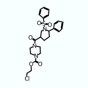 O=C(OCCCl)N1CCN(C(=O)C2CCC(c3ccccc3)N(S(=O)(=O)c3ccccc3)C2)CC1